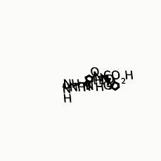 Cc1cccc(C)c1S(=O)(=O)NC(CNC(=O)c1ccc2c(CCCNC3NCCN3)nn(C)c2c1)C(=O)O